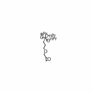 CCC[O][Ti]([CH2]CCOCC1CO1)([O]CCC)[O]CCC